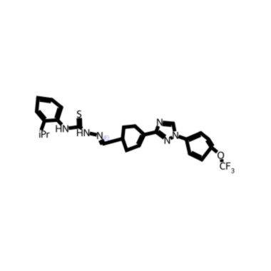 CC(C)c1ccccc1NC(=S)N/N=C/C1CC=C(c2ncn(-c3ccc(OC(F)(F)F)cc3)n2)CC1